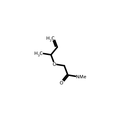 C=CC(C)OCC(=O)NC